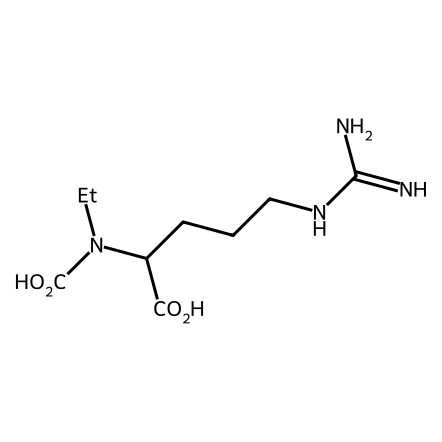 CCN(C(=O)O)C(CCCNC(=N)N)C(=O)O